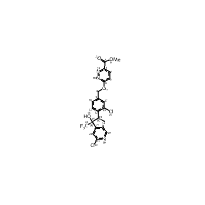 COC(=O)c1ccc(OCc2ccc([C@@H](C)[C@@](O)(c3ccnc(Cl)c3)C(F)(F)F)c(Cl)c2)nn1